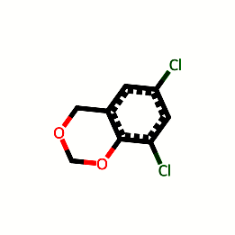 Clc1cc(Cl)c2c(c1)COCO2